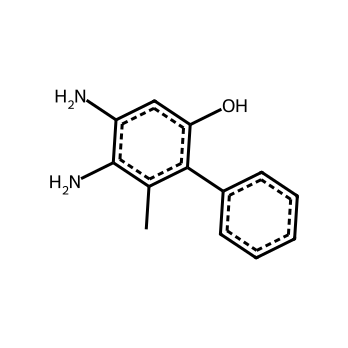 Cc1c(N)c(N)cc(O)c1-c1ccccc1